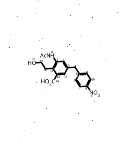 CC(=O)Nc1cc(Cc2ccc([N+](=O)[O-])cc2)cc(C(=O)O)c1CCO